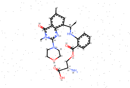 Cc1cc([C@@H](C)Nc2ccccc2C(=O)OC[C@H](N)C(=O)O)c2nc(N3CCOCC3)n(C)c(=O)c2c1